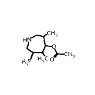 CC(=O)OC1C(C)CNCC(P)C1C